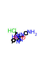 Cc1ccc(OCC2CC2)c(-c2ncnc3c(C(=O)N[C@H]4CC[C@H](N)CC4)c(C)[nH]c23)c1.Cl